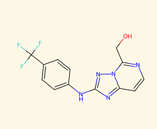 OCc1nccc2nc(Nc3ccc(C(F)(F)F)cc3)nn12